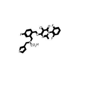 Cc1nc(OCc2ccc(F)cc2CN(Cc2ccsc2)C(=O)O)c(Cl)c(=O)n1-c1c(F)cccc1F